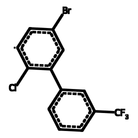 FC(F)(F)c1cccc(-c2cc(Br)c[c]c2Cl)c1